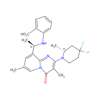 Cc1cc([C@@H](C)Nc2ccccc2C(=O)O)c2nc(N3CCC(F)(F)C[C@H]3C)c(C)c(=O)n2c1